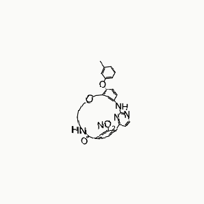 Cc1cccc(Oc2ccc3cc2COCCCCNC(=O)c2ccc(c([N+](=O)[O-])c2)-c2ccnc(n2)N3)c1